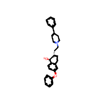 O[C@@H]1c2ccc(Oc3ccccc3)cc2CC[C@H]1CCN1CCC(c2ccccc2)CC1